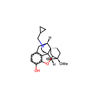 CO[C@]12CC[C@@]3(CC1C(C)(C)C)[C@H]1Cc4ccc(O)c5c4[C@@]3(CCN1CC1CC1)[C@H]2O5